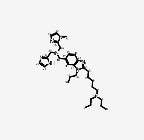 CCCN(CCC)CCCCCc1nc2ccc(CN(Cc3ncc[nH]3)Cc3nccn3C)cc2n1CCC